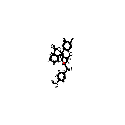 Cc1cc2c(cc1C)C1(OC(=O)c3ccccc31)c1ccc(Nc3ccc(N(C)C)cc3)cc1O2